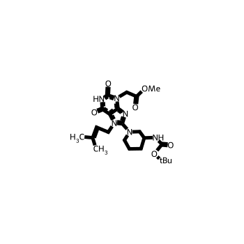 COC(=O)Cn1c(=O)[nH]c(=O)c2c1nc(N1CCCC(NC(=O)OC(C)(C)C)C1)n2CC=C(C)C